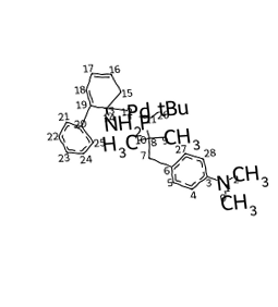 CN(C)c1ccc(CC(C)(C)[P]([Pd][C]2(N)CC=CC=C2c2ccccc2)C(C)(C)C)cc1